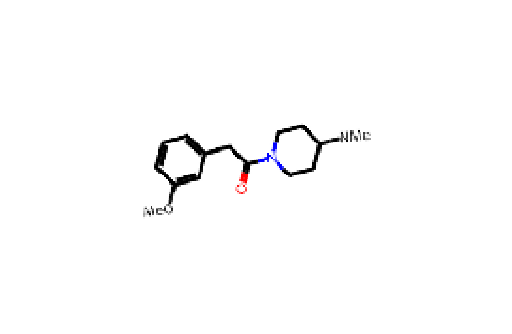 CNC1CCN(C(=O)Cc2cccc(OC)c2)CC1